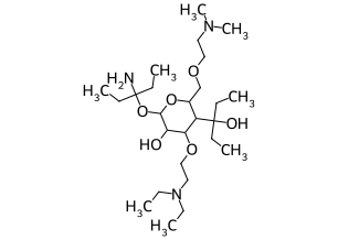 CCN(CC)CCOC1C(O)C(OC(N)(CC)CC)OC(COCCN(C)C)C1C(O)(CC)CC